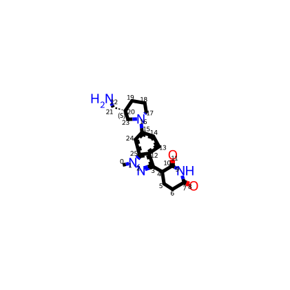 Cn1nc(C2CCC(=O)NC2=O)c2ccc(N3CCC[C@@H](CN)C3)cc21